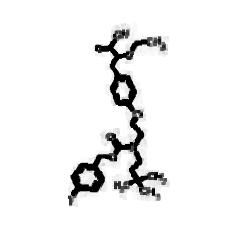 CCOC(Cc1ccc(OCCN(CCC(C)(C)C)C(=O)OCc2ccc(F)cc2)cc1)C(=O)O